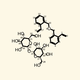 C=Cc1ccccc1COCc1ccccc1C=C.OC[C@H]1O[C@H](O[C@H]2O[C@H](CO)[C@@H](O)[C@H](O)[C@H]2O)[C@H](O)[C@@H](O)[C@@H]1O